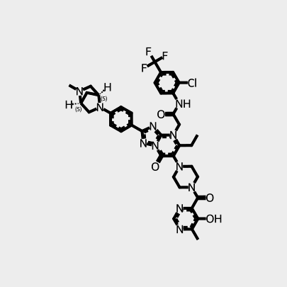 CCc1c(N2CCN(C(=O)c3ncnc(C)c3O)CC2)c(=O)n2nc(-c3ccc(N4C[C@@H]5C[C@H]4CN5C)cc3)nc2n1CC(=O)Nc1ccc(C(F)(F)F)cc1Cl